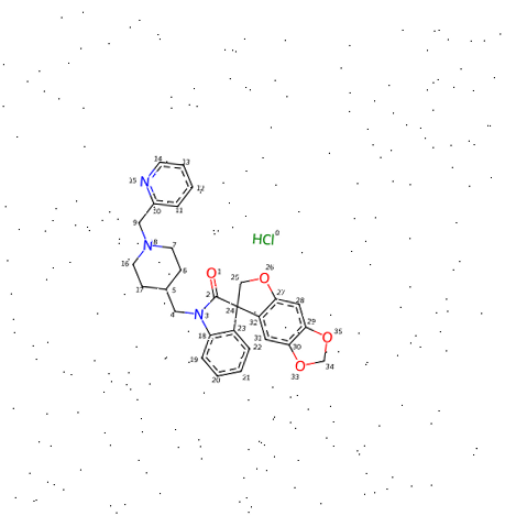 Cl.O=C1N(CC2CCN(Cc3ccccn3)CC2)c2ccccc2C12COc1cc3c(cc12)OCO3